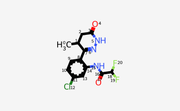 CC1CC(=O)NN=C1c1ccc(Cl)cc1NC(=O)C(F)F